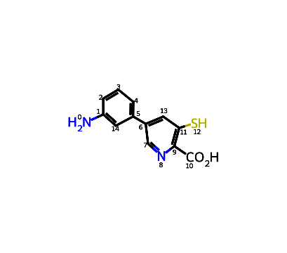 Nc1cccc(-c2cnc(C(=O)O)c(S)c2)c1